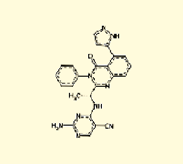 C[C@@H](Nc1nc(N)ncc1C#N)c1nc2cccc(-c3ccn[nH]3)c2c(=O)n1-c1ccccc1